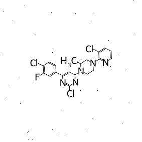 C[C@H]1CN(c2ncccc2Cl)CCN1c1cc(-c2ccc(Cl)c(F)c2)nc(Cl)n1